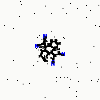 C#C/C=C\c1c(C)c(=C(C#N)C#N)c2ccccc2c1=C(C#N)C#N